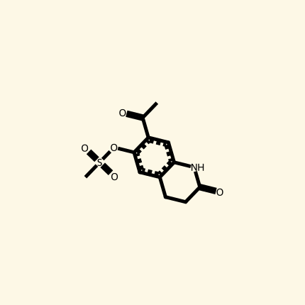 CC(=O)c1cc2c(cc1OS(C)(=O)=O)CCC(=O)N2